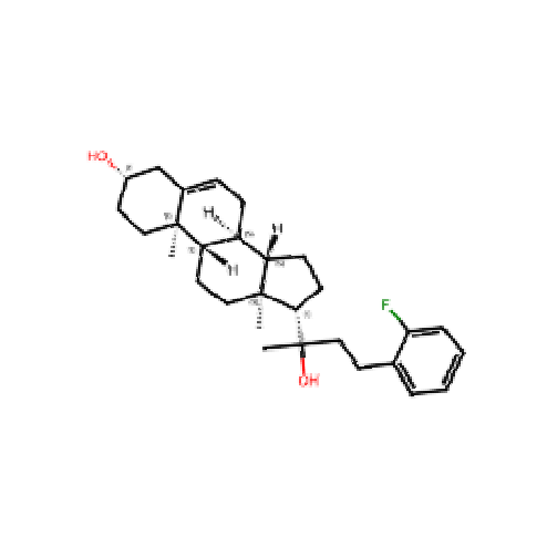 CC(O)(CCc1ccccc1F)[C@H]1CC[C@H]2[C@@H]3CC=C4C[C@@H](O)CC[C@]4(C)[C@H]3CC[C@]12C